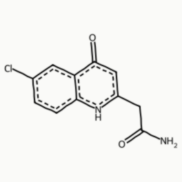 NC(=O)Cc1cc(=O)c2cc(Cl)ccc2[nH]1